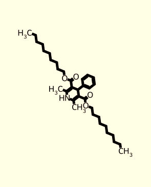 CCCCCCCCCCOC(=O)C1=C(C)NC(C)=C(C(=O)OCCCCCCCCCC)C1c1ccccc1